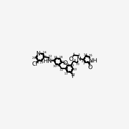 O=c1cc(N2CCOC(c3cc(F)cc4c3Oc3ccc(NCc5cncc(Cl)c5)cc3C4)C2)cc[nH]1